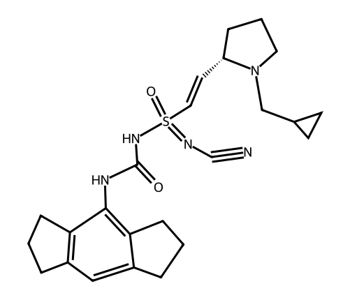 N#CN=S(=O)(/C=C/[C@@H]1CCCN1CC1CC1)NC(=O)Nc1c2c(cc3c1CCC3)CCC2